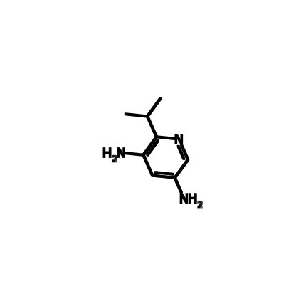 CC(C)c1ncc(N)cc1N